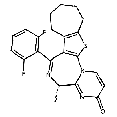 C[C@@H]1N=C(c2c(F)cccc2F)c2c(sc3c2CCCCC3)-n2ccc(=O)nc21